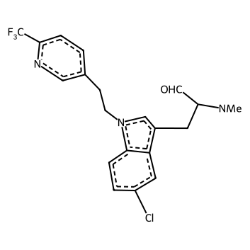 CNC(C=O)Cc1cn(CCc2ccc(C(F)(F)F)nc2)c2ccc(Cl)cc12